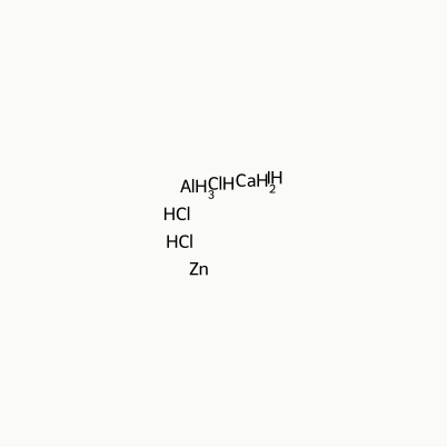 Cl.Cl.Cl.I.[AlH3].[CaH2].[Zn]